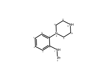 CC(C)Nc1ccccc1N1CCNCC1